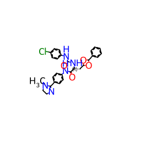 CN1CCN=C1c1ccc(NC(=O)[C@@H](CC2OC(c3ccccc3)O2)NC(=O)Nc2ccc(Cl)cc2)cc1